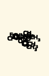 Cc1[nH]c(C(OC2CCC(C)(C)CC2)c2ccc(F)c(Cl)c2)nc1S(C)(=O)=O